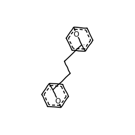 c1cc2ccc1O[C]2CC[C]1Oc2ccc1cc2